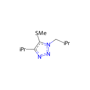 CSc1c(C(C)C)nnn1CC(C)C